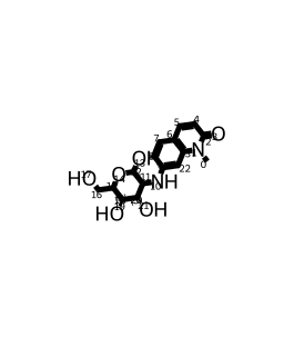 Cn1c(=O)ccc2ccc(NC3C(O)OC(CO)[C@H](O)[C@H]3O)cc21